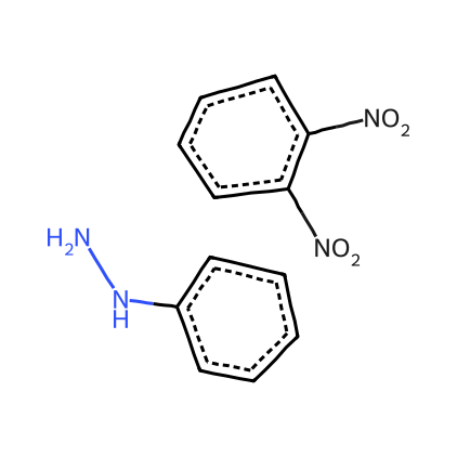 NNc1ccccc1.O=[N+]([O-])c1ccccc1[N+](=O)[O-]